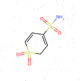 NS(=O)(=O)C1=CCS(=O)(=O)C=C1